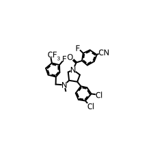 CN(Cc1ccc(C(F)(F)F)c(F)c1)C1CN(C(=O)c2ccc(C#N)cc2F)CC1c1ccc(Cl)c(Cl)c1